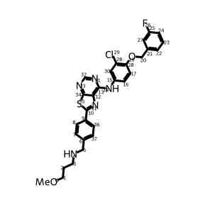 COCCCNCc1ccc(-c2nc3c(Nc4ccc(OCc5cccc(F)c5)c(Cl)c4)ncnc3s2)cc1